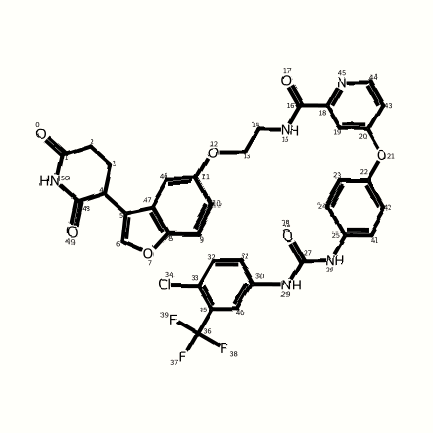 O=C1CCC(c2coc3ccc(OCCNC(=O)c4cc(Oc5ccc(NC(=O)Nc6ccc(Cl)c(C(F)(F)F)c6)cc5)ccn4)cc23)C(=O)N1